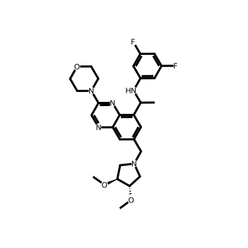 CO[C@H]1CN(Cc2cc(C(C)Nc3cc(F)cc(F)c3)c3nc(N4CCOCC4)cnc3c2)C[C@@H]1OC